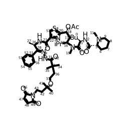 CC[C@H](C)[C@H](NC(=O)[C@H]1CCCCN1C)C(=O)N(C)C(C[C@@H](OC(C)=O)c1nc(C(=O)N[C@H](C)/C(=N/NC(=O)C(C)(C)CCOC(C)(C)CCN2C(=O)C=CC2=O)c2ccccc2)cs1)C(C)C